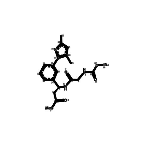 COC(=O)C[C@H](NC(=O)CNC(=O)OC(C)(C)C)c1cccc(-n2nc(C)cc2C)c1